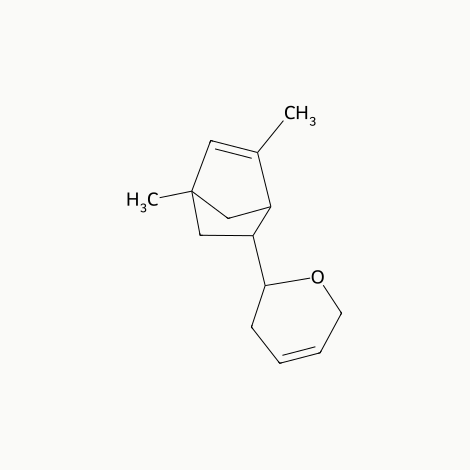 CC1=CC2(C)CC1C(C1CC=CCO1)C2